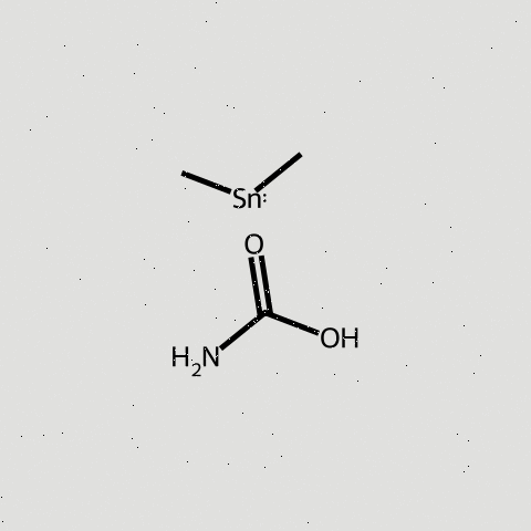 NC(=O)O.[CH3][Sn][CH3]